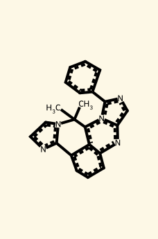 CC1(C)c2c3c(cccc3nc3cnc(-c4ccccc4)n23)-c2nccn21